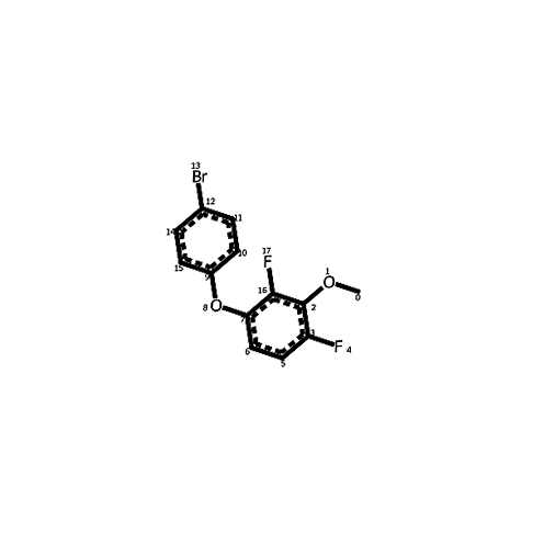 COc1c(F)ccc(Oc2ccc(Br)cc2)c1F